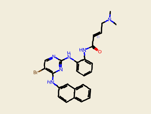 CN(C)C/C=C/C(=O)Nc1ccccc1Nc1ncc(Br)c(Nc2ccc3ccccc3c2)n1